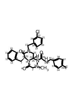 CN1CC(=O)N2[C@@H](Cc3ccccc3)C(=O)N(Cc3cccc(Cl)c3)C[C@@H]2N1C(=O)NCc1ccc(F)cc1